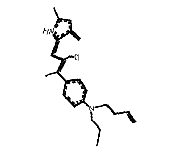 C=CCCN(CCC)c1ccc(/C(C)=C(Cl)/C=c2/[nH]c(C)cc2=C)cc1